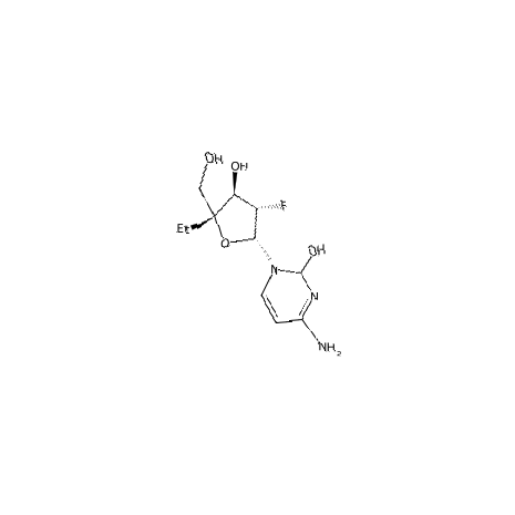 CC[C@]1(CO)O[C@@H](N2C=CC(N)=NC2O)[C@@H](F)[C@@H]1O